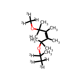 [2H]C([2H])([2H])OC(C)(C)/C(C)=C(/C)C(C)(C)OC([2H])(C)C([2H])([2H])[2H]